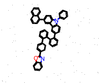 C1=C(c2nc3ccccc3o2)CCC(c2ccccc2-c2ccccc2-c2ccc3c(c2)c2cc(-c4cccc5ccccc45)ccc2n3-c2ccccc2)=C1